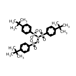 CC(C)(C)c1ccc(S(=O)(=O)[N]N(S(=O)(=O)c2ccc(C(C)(C)C)cc2)S(=O)(=O)c2ccc(C(C)(C)C)cc2)cc1